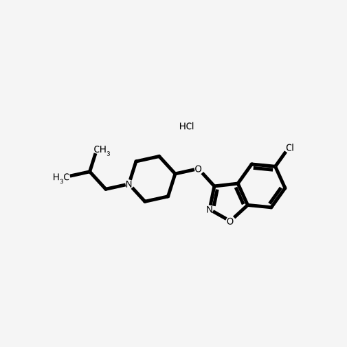 CC(C)CN1CCC(Oc2noc3ccc(Cl)cc23)CC1.Cl